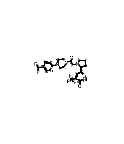 O=C(CN1CCCC1c1cc(C(F)(F)F)c(=O)[nH]n1)N1CCN(c2ccc(C(F)F)cn2)CC1